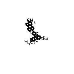 Cc1ccc(N(c2ccc(-c3ccc4c5ccc(C)c6cccc(c7cccc3c74)c65)cc2)c2c(C)cc(C(C)(C)C)cc2C)cc1